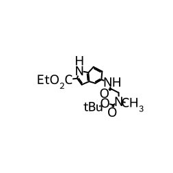 CCOC(=O)c1cc2cc(NC(=O)CN(C)C(=O)OC(C)(C)C)ccc2[nH]1